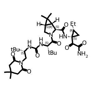 CC[C@@H]1C[C@@]1(NC(=O)[C@@H]1[C@@H]2[C@H](CN1C(=O)[C@@H](NC(=O)N[C@H](CN1C(=O)CC(C)(C)CC1=O)C(C)(C)C)C(C)(C)C)C2(C)C)C(=O)C(N)=O